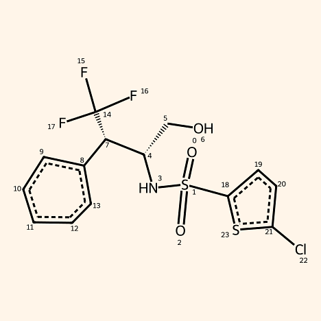 O=S(=O)(N[C@@H](CO)[C@H](c1ccccc1)C(F)(F)F)c1ccc(Cl)s1